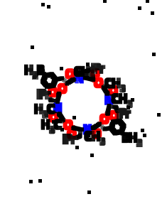 Bc1cccc(C[C@H]2OC(=O)[C@H](CC(C)C)N(C)C(=O)[C@@H](C)OC(=O)[C@H](CC(C)C)N(C)C(=O)[C@@H](Cc3cccc(B)c3)OC(=O)[C@H](CC(C)C)N(C)C(=O)[C@@H](C)OC(=O)[C@H](CC(C)C)N(C)C2=O)c1